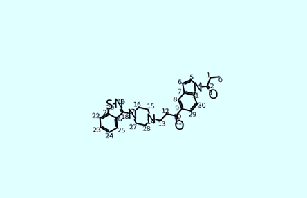 CCC(=O)n1ccc2cc(C(=O)CCN3CCN(c4nsc5ccccc45)CC3)ccc21